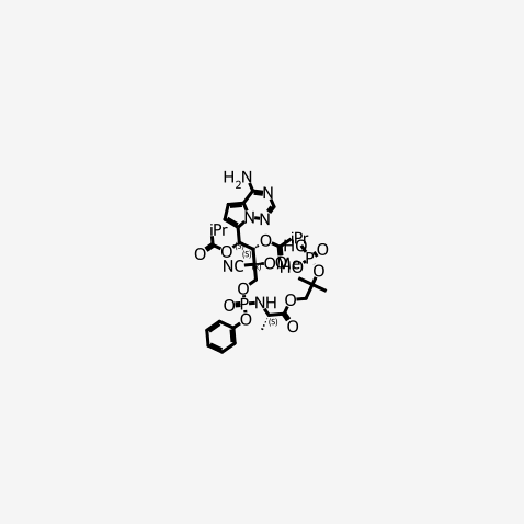 CO[C@](C#N)(COP(=O)(N[C@@H](C)C(=O)OCC(C)(C)OP(=O)(O)O)Oc1ccccc1)[C@@H](OC(=O)C(C)C)[C@@H](OC(=O)C(C)C)c1ccc2c(N)ncnn12